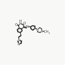 CN1CCN(c2ccc(NC=C3C(=O)NC(=O)c4ccc(C=Cn5ccnc5)cc43)cc2)CC1